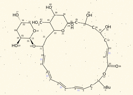 CCCCC1C/C=C/C=C/C=C/C=C/C(O[C@@H]2OC[C@@H](O)C[C@@H]2O)CC2OC(O)(CC(O)CC(O)C/C=C/C(=O)O1)CC(O)C2C(=O)O